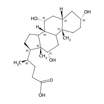 C[C@H](CCC(=O)O)[C@H]1CCC2[C@H]3C(C[C@H](O)[C@@]21C)[C@@]1(C)CC[C@@H](O)C[C@H]1C[C@H]3O